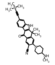 CNC1CCN(c2cc3c(cc2C#N)C(=O)c2c([nH]c4cc(C#C[Si](C)(C)C)ccc24)C3(C)C)CC1